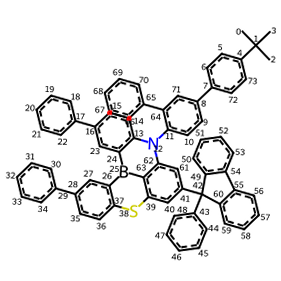 CC(C)(C)c1ccc(-c2ccc(N3c4ccc(-c5ccccc5)cc4B4c5cc(-c6ccccc6)ccc5Sc5cc(C6(c7ccccc7)c7ccccc7-c7ccccc76)cc3c54)c(-c3ccccc3)c2)cc1